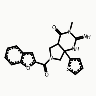 CN1C(=N)NC2(c3cccs3)CN(C(=O)c3cc4ccccc4o3)CC2C1=O